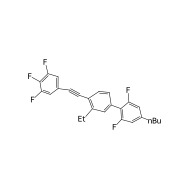 CCCCc1cc(F)c(-c2ccc(C#Cc3cc(F)c(F)c(F)c3)c(CC)c2)c(F)c1